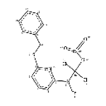 CCN(c1cccc(SCc2ccccc2)n1)C(Cl)(Cl)O[SH](=O)=O